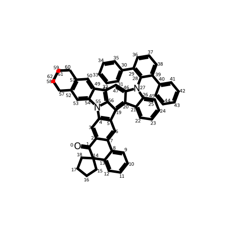 O=C1c2cc3c(cc2-c2ccccc2C12CCCC2)c1c2c4ccccc4n(-c4c(-c5ccccc5)cccc4-c4ccccc4)c2cc2c4cc5c(cc4n3c21)C1CCC5CC1